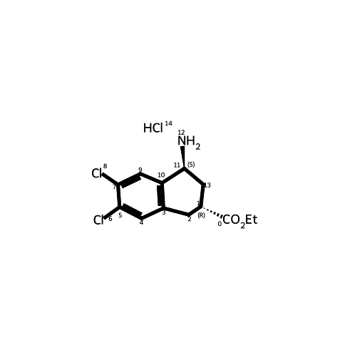 CCOC(=O)[C@@H]1Cc2cc(Cl)c(Cl)cc2[C@@H](N)C1.Cl